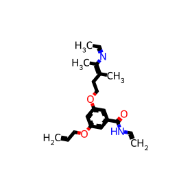 C=CCOc1cc(OCC/C(C)=C(C)/N=C\C)cc(C(=O)NC=C)c1